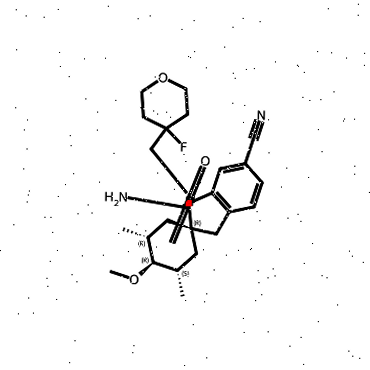 CO[C@H]1[C@H](C)C[C@@]2(Cc3ccc(C#N)cc3C23N=C(N)N(CC2(F)CCOCC2)C3=O)C[C@@H]1C